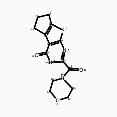 O=C(c1nc2sc3c(c2c(=O)[nH]1)CCC3)N1CCOCC1